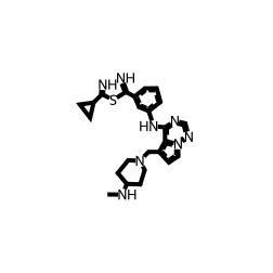 CNC1CCN(Cc2ccn3ncnc(Nc4cccc(C(=N)SC(=N)C5CC5)c4)c23)CC1